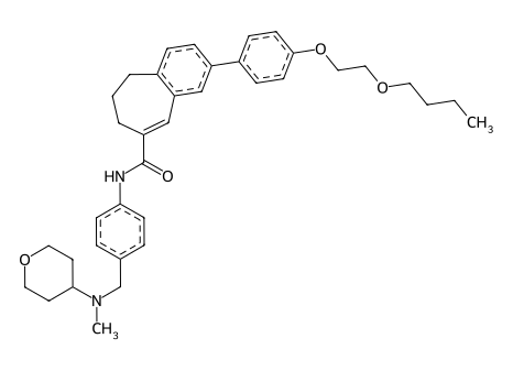 CCCCOCCOc1ccc(-c2ccc3c(c2)C=C(C(=O)Nc2ccc(CN(C)C4CCOCC4)cc2)CCC3)cc1